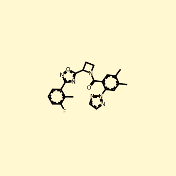 Cc1cc(C(=O)N2CCC2c2nc(-c3cccc(F)c3C)no2)c(-n2nccn2)cc1C